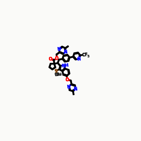 Cc1cnc(COC(=O)C2(C(Cc3ccc(-c4ccc(C(F)(F)F)nc4)cc3)c3[nH]c4ccc(OCc5cnc(C)cn5)cc4c3SC(C)(C)C)CCCC2)cn1